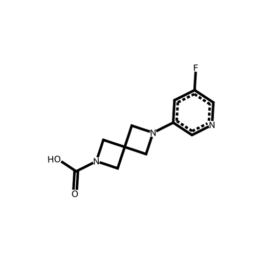 O=C(O)N1CC2(C1)CN(c1cncc(F)c1)C2